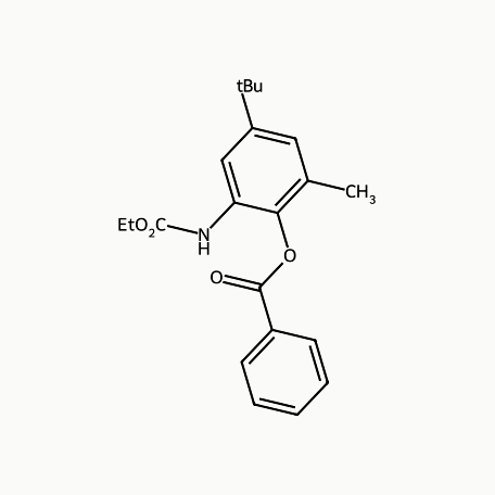 CCOC(=O)Nc1cc(C(C)(C)C)cc(C)c1OC(=O)c1ccccc1